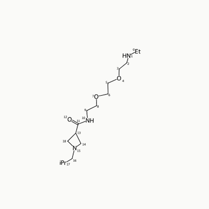 CCNCCOCCOCCNC(=O)C1CN(CC(C)C)C1